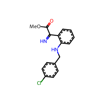 COC(=O)C(=N)c1ccccc1NCc1ccc(Cl)cc1